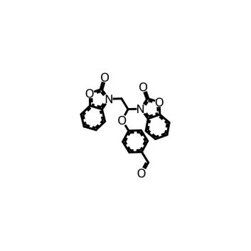 O=Cc1ccc(OC(Cn2c(=O)oc3ccccc32)n2c(=O)oc3ccccc32)cc1